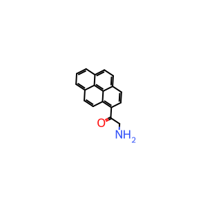 NCC(=O)c1ccc2ccc3cccc4ccc1c2c34